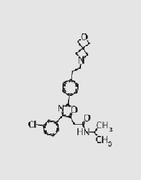 CC(C)NC(=O)Cc1oc(-c2ccc(CCN3CC4(COC4)C3)cc2)nc1-c1cccc(Cl)c1